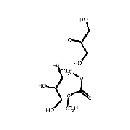 O=C(O)OC(=O)OC(=O)O.OCC(O)CO.OCC(O)CO